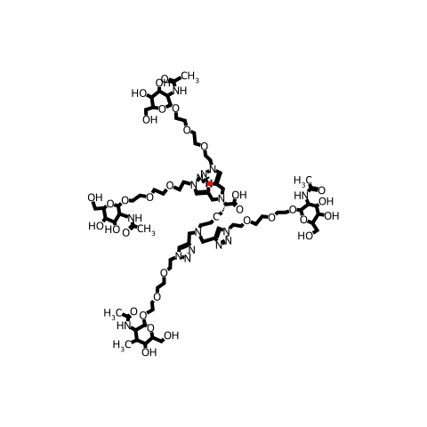 CC(=O)NC1C(OCCOCCOCCn2cc(CN(CCCC[C@@H](C(=O)O)N(Cc3cn(CCOCCOCCOC4OC(CO)C(O)C(O)C4NC(C)=O)nn3)Cc3cn(CCOCCOCCOC4OC(CO)C(O)C(O)C4NC(C)=O)nn3)Cc3cn(CCOCCOCCOC4OC(CO)C(O)C(O)C4NC(C)=O)nn3)nn2)OC(CO)C(O)C1C